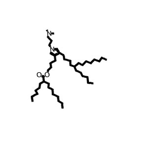 CCCCCCCCC(CCCCCC)CCCCc1cn(CCCN(C)C)cc1CCCCOC(=O)C(CCCCCC)CCCCCCCC